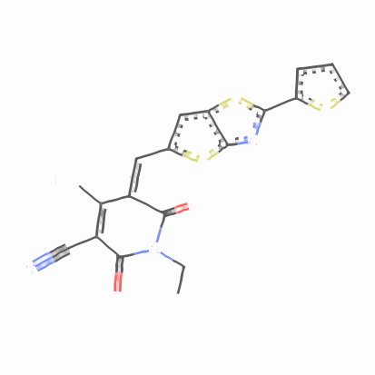 CCN1C(=O)C(C#N)=C(C)/C(=C/c2cc3sc(-c4cccs4)nc3s2)C1=O